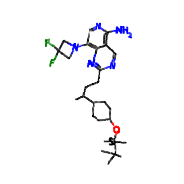 CC(CCc1ncc2c(N)ncc(N3CC(F)(F)C3)c2n1)C1CCC(O[Si](C)(C)C(C)(C)C)CC1